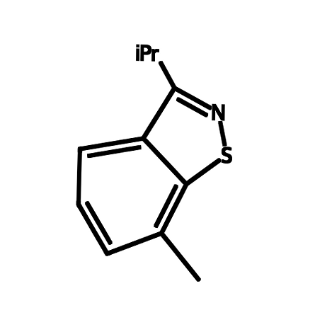 Cc1cccc2c(C(C)C)nsc12